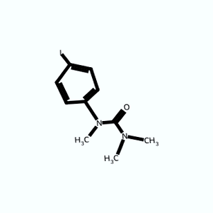 CN(C)C(=O)N(C)c1ccc(I)cc1